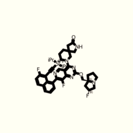 CC(C)[Si](C#Cc1c(F)ccc2cccc(-c3ncc4c(N5CCCC6(CNC(=O)C6)C5)nc(OC[C@@]56CCCN5C[C@H](F)C6)nc4c3F)c12)(C(C)C)C(C)C